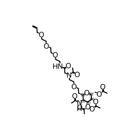 C=CCOCCOCCOCCNC(=O)CN(CCOCC[C@H]1O[C@H](COC(C)=O)[C@H](OC(C)=O)[C@H](OC(C)=O)[C@H]1NC(C)=O)C(C)=O